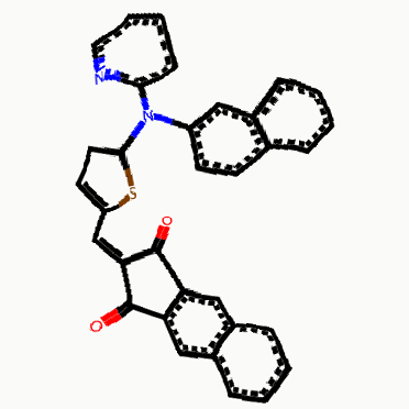 O=C1C(=CC2=CCC(N(c3ccc4ccccc4c3)c3ccccn3)S2)C(=O)c2cc3ccccc3cc21